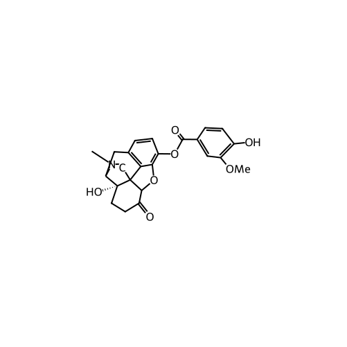 COc1cc(C(=O)Oc2ccc3c4c2OC2C(=O)CC[C@@]5(O)C(C3)N(C)CCC425)ccc1O